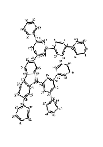 c1ccc(-c2ccc(-c3nc(-c4ccccc4)nc(-c4ccc5c6ccc(-c7ccccc7)cc6n(-c6cc(-c7ccccc7)cc(-c7ccccc7)c6)c5c4)n3)cc2)cc1